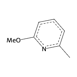 [CH2]Oc1cccc(C)n1